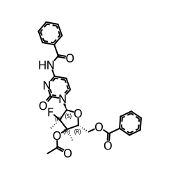 CC(=O)O[C@]1(C)[C@@H](COC(=O)c2ccccc2)O[C@H](n2ccc(NC(=O)c3ccccc3)nc2=O)[C@]1(C)F